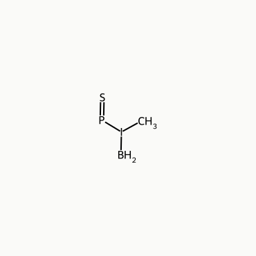 BI(C)P=S